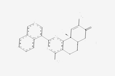 COc1nc(-c2cncc3ccccc23)nc2c1CC[C@@H]1[C@@H](C)C(=O)C(C#N)=C[C@@]21C